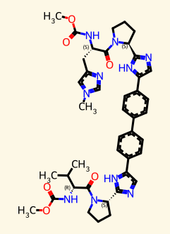 COC(=O)N[C@@H](Cc1cn(C)cn1)C(=O)N1CCC[C@H]1c1ncc(-c2ccc(-c3ccc(-c4cnc([C@@H]5CCCN5C(=O)[C@H](NC(=O)OC)C(C)C)[nH]4)cc3)cc2)[nH]1